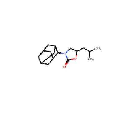 CC(C)CC1CN(C2C3CC4CC(C3)CC2C4)C(=O)O1